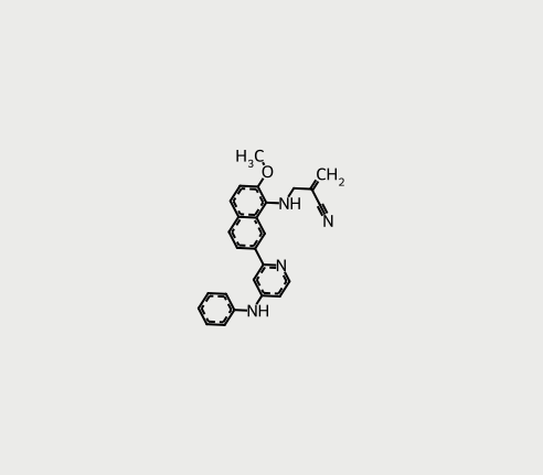 C=C(C#N)CNc1c(OC)ccc2ccc(-c3cc(Nc4ccccc4)ccn3)cc12